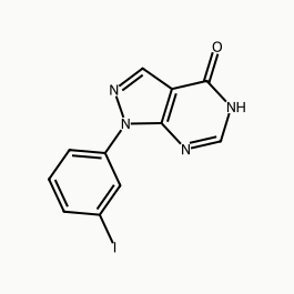 O=c1[nH]cnc2c1cnn2-c1cccc(I)c1